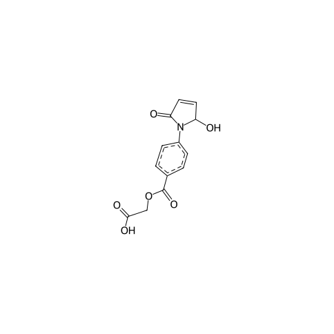 O=C(O)COC(=O)c1ccc(N2C(=O)C=CC2O)cc1